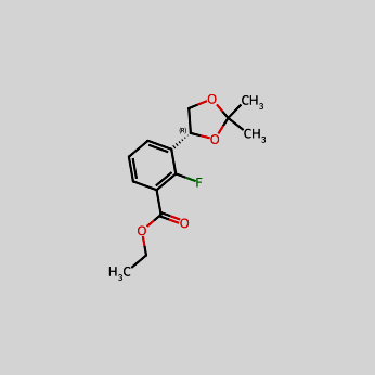 CCOC(=O)c1cccc([C@@H]2COC(C)(C)O2)c1F